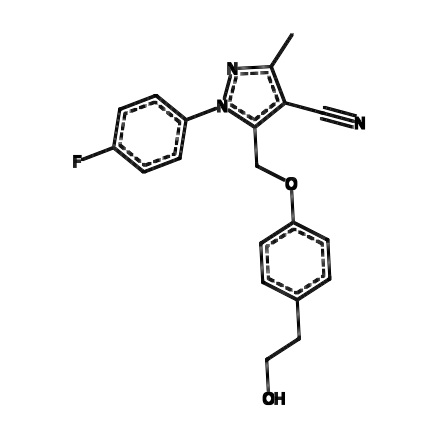 Cc1nn(-c2ccc(F)cc2)c(COc2ccc(CCO)cc2)c1C#N